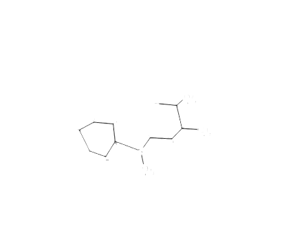 CC(F)C(C)CCN(C)C1CCCCC1